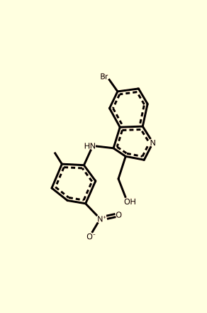 Cc1ccc([N+](=O)[O-])cc1Nc1c(CO)cnc2ccc(Br)cc12